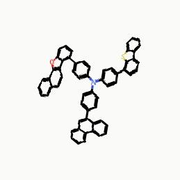 c1ccc2c(c1)cc(-c1ccc(N(c3ccc(-c4cccc5c4sc4ccccc45)cc3)c3ccc(-c4cccc5oc6c7ccccc7ccc6c45)cc3)cc1)c1ccccc12